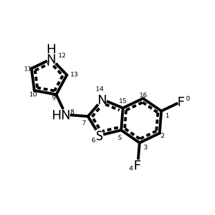 Fc1cc(F)c2sc(Nc3cc[nH]c3)nc2c1